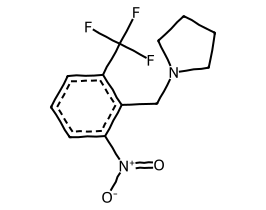 O=[N+]([O-])c1cccc(C(F)(F)F)c1CN1CCCC1